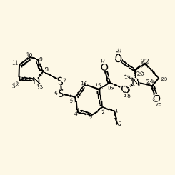 CCc1ccc(SSc2ccccn2)cc1C(=O)ON1C(=O)CCC1=O